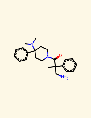 CN(C)C1(c2ccccc2)CCN(C(=O)C(C)(CN)c2ccccc2)CC1